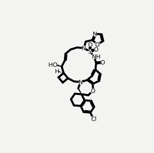 O=C1NS(=O)(=O)N(Cc2ncco2)CC/C=C/[C@H](O)[C@@H]2CCC2CN2C[C@@]3(CCCc4cc(Cl)ccc43)COc3ccc1cc32